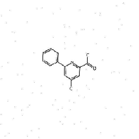 O=C(Cl)c1cc(Cl)cc(-c2ccccc2)n1